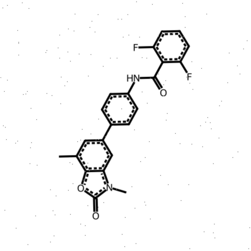 Cc1cc(-c2ccc(NC(=O)c3c(F)cccc3F)cc2)cc2c1oc(=O)n2C